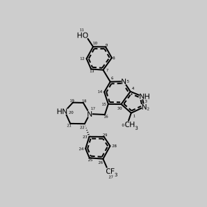 Cc1n[nH]c2nc(-c3ccc(O)cc3)cc(CN3CCNC[C@H]3c3ccc(C(F)(F)F)cc3)c12